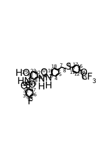 O=C(Nc1ccc(CCSc2ccc(OC(F)(F)F)cc2)cc1)Nc1ccc(O)c(NS(=O)(=O)c2ccc(F)cc2)c1